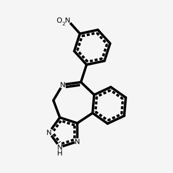 O=[N+]([O-])c1cccc(C2=NCc3n[nH]nc3-c3ccccc32)c1